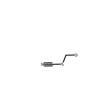 N#CSC[O]